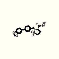 O=C(NO)[C@H]1CCCS(=O)(=O)N1Cc1ccc(-c2ccc3c(c2)OCO3)cc1